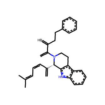 B=C(CCc1ccccc1)C(=C)N1CCc2c([nH]c3ccccc23)[C@@H]1C(=C)/C=C\C=C(C)C